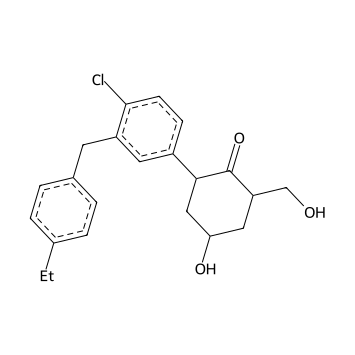 CCc1ccc(Cc2cc(C3CC(O)CC(CO)C3=O)ccc2Cl)cc1